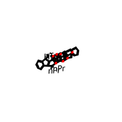 CCCC1(CCC)C2=C(c3ccc(-c4ccccc4)cc3)[CH](c3ccccc32)[Hf]([CH3])([CH3])[CH]2C(c3ccc(-c4ccccc4)cc3)=C1c1ccccc12